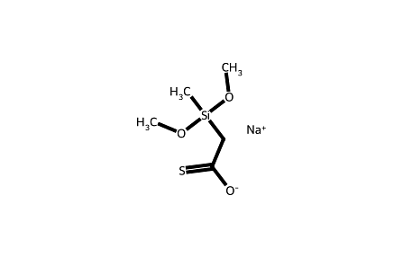 CO[Si](C)(CC([O-])=S)OC.[Na+]